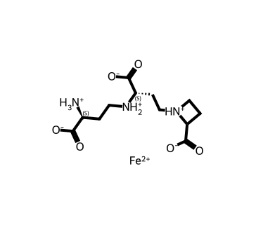 [Fe+2].[NH3+][C@@H](CC[NH2+][C@@H](CC[NH+]1CCC1C(=O)[O-])C(=O)[O-])C(=O)[O-]